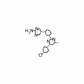 Cc1cc(-c2ccc(Cl)cc2)nc(-c2cccc(-c3cnc(N)nc3)c2)n1